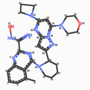 Cc1cccc2nc(C(=N)NO)nc(N3CCCCC3c3cc4nc(N5CCC5)cc(N5CCOCC5)n4n3)c12